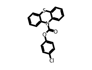 O=C(Oc1ccc(Cl)cc1)N1c2ccccc2Sc2ccccc21